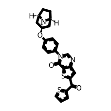 CN1[C@@H]2CC[C@H]1C[C@@H](Oc1ccc(-n3cnc4cc(C(=O)c5cccs5)sc4c3=O)cc1)C2